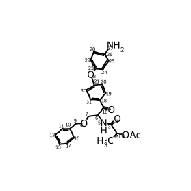 CC(=O)O[C@@H](C)C(=O)NC(COCc1ccccc1)C(=O)c1ccc(Oc2ccc(N)cc2)cc1